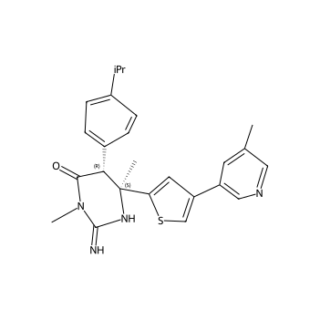 Cc1cncc(-c2csc([C@@]3(C)NC(=N)N(C)C(=O)[C@@H]3c3ccc(C(C)C)cc3)c2)c1